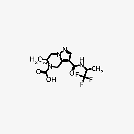 CC(NC(=O)c1cnn2c1CN(C(=O)O)[C@@H](C)C2)C(F)(F)F